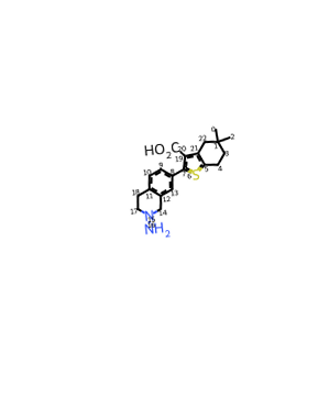 CC1(C)CCc2sc(-c3ccc4c(c3)CN(N)CC4)c(C(=O)O)c2C1